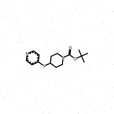 CC(C)(C)OC(=O)N1CCC(Sc2ccncc2)CC1